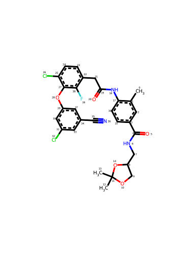 Cc1cc(C(=O)NCC2COC(C)(C)O2)ccc1NC(=O)Cc1ccc(Cl)c(Oc2cc(Cl)cc(C#N)c2)c1F